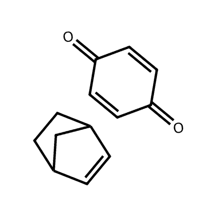 C1=CC2CCC1C2.O=C1C=CC(=O)C=C1